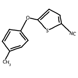 [C-]#[N+]c1ccc(Oc2ccc(C)cc2)s1